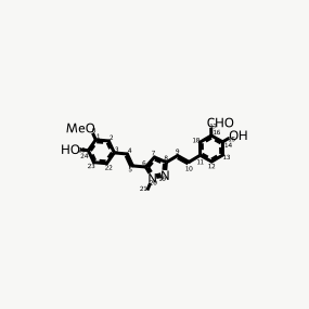 COc1cc(/C=C/c2cc(/C=C/c3ccc(O)c(C=O)c3)nn2C)ccc1O